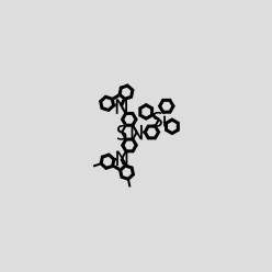 Cc1ccc2c(c1)c1cc(C)ccc1n2-c1ccc2c(c1)Sc1cc(-n3c4ccccc4c4ccccc43)ccc1N2c1cccc([Si](c2ccccc2)(c2ccccc2)c2ccccc2)c1